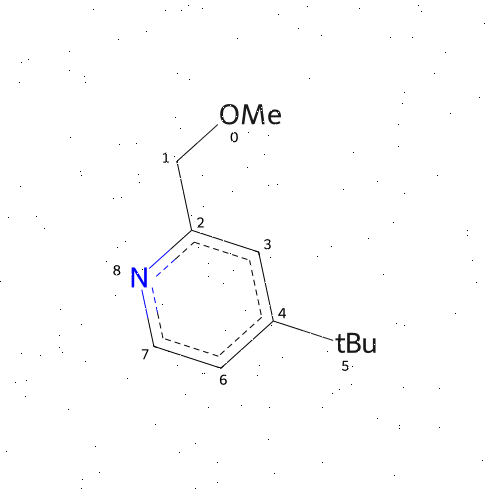 COCc1cc(C(C)(C)C)ccn1